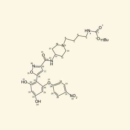 CC(C)(C)OC(=O)NCCCCN1CCC(NC(=O)c2cc(-c3c(O)cc(O)cc3Oc3ccc([N+](=O)[O-])cc3)on2)CC1